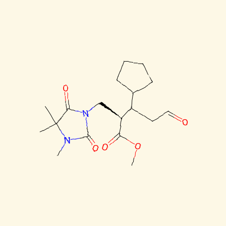 COC(=O)[C@@H](CN1C(=O)N(C)C(C)(C)C1=O)C(CC=O)C1CCCC1